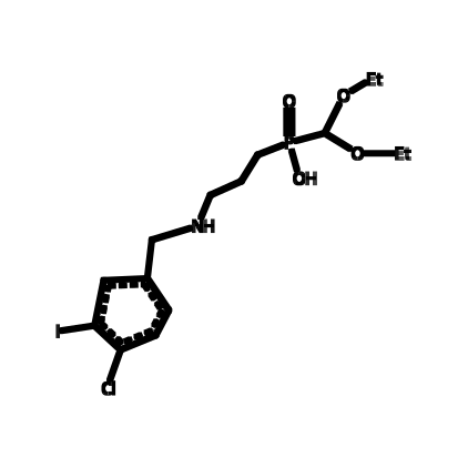 CCOC(OCC)P(=O)(O)CCCNCc1ccc(Cl)c(I)c1